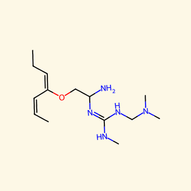 C/C=C\C(=C/CC)OCC(N)/N=C(/NC)NCN(C)C